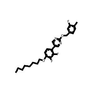 CCCCCCCCOc1ccc(-c2cnc(OCc3ccc(C)c(F)c3)nc2)c(F)c1F